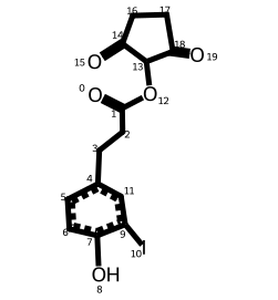 O=C(CCc1ccc(O)c(I)c1)OC1C(=O)CCC1=O